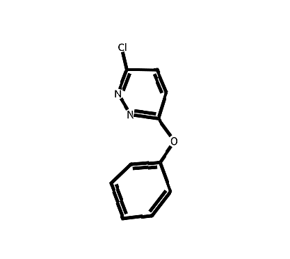 Clc1ccc(Oc2ccccc2)nn1